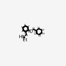 CCNCc1ccccc1OCC1=CC=C[CH][C]1